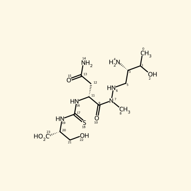 CC(O)[C@@H](N)CNN(C)C(=O)[C@@H](CC(N)=O)NC(=S)N[C@H](CO)C(=O)O